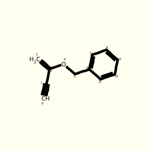 C#CC(=C)OCc1ccccc1